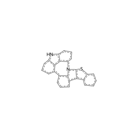 c1ccc2c(c1)sc1c2c2cccc3c4cccc5[nH]c6cccc(c6c54)n1c32